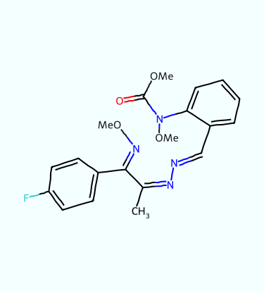 CON=C(C(C)=NN=Cc1ccccc1N(OC)C(=O)OC)c1ccc(F)cc1